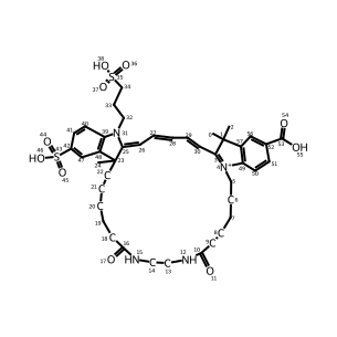 CC1(C)C2=[N+](CCCCCC(=O)NCCNC(=O)CCCCCC3(C)/C(=C/C=C/C=C/2)N(CCCS(=O)(=O)O)c2ccc(S(=O)(=O)O)cc23)c2ccc(C(=O)O)cc21